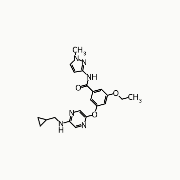 CCOc1cc(Oc2cnc(NCC3CC3)cn2)cc(C(=O)Nc2ccn(C)n2)c1